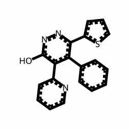 Oc1nnc(-c2cccs2)c(-c2ccccc2)c1-c1ccccn1